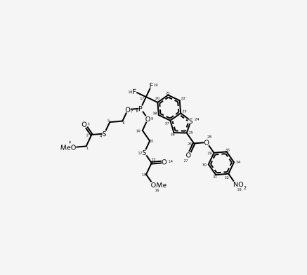 COCC(=O)SCCOP(OCCSC(=O)COC)C(F)(F)c1ccc2sc(C(=O)Oc3ccc([N+](=O)[O-])cc3)cc2c1